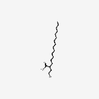 CCCCCCCCCCCCCCC(CC[O])C(N)=O